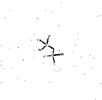 CC(C)[Si](Cl)(C[Si](Cl)(C(C)C)C(C)C)C(C)C